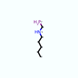 CCCCCNCP